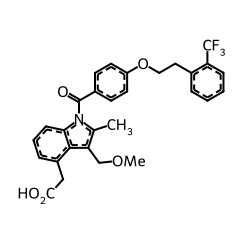 COCc1c(C)n(C(=O)c2ccc(OCCc3ccccc3C(F)(F)F)cc2)c2cccc(CC(=O)O)c12